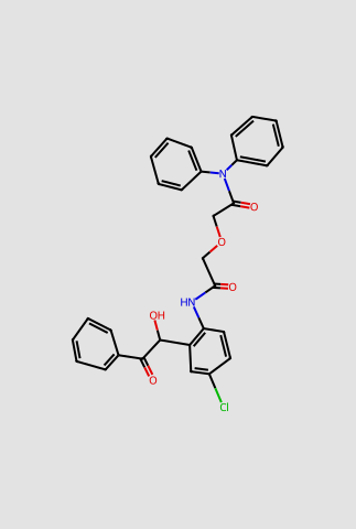 O=C(COCC(=O)N(c1ccccc1)c1ccccc1)Nc1ccc(Cl)cc1C(O)C(=O)c1ccccc1